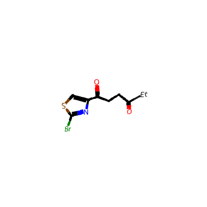 CCC(=O)CCC(=O)c1csc(Br)n1